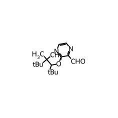 CC(C)(C)C(Oc1nccnc1C=O)C(C)(C)C(C)(C)C